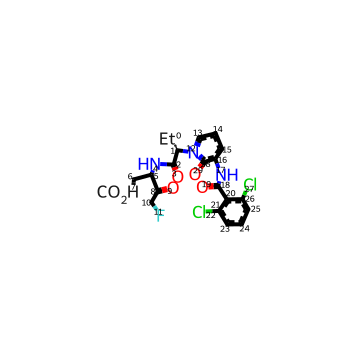 CC[C@@H](C(=O)NC(CC(=O)O)C(=O)CF)n1cccc(NC(=O)c2c(Cl)cccc2Cl)c1=O